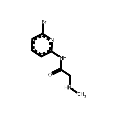 CNCC(=O)Nc1cccc(Br)n1